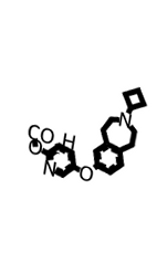 O=C(O)Oc1ccc(Oc2ccc3c(c2)CCN(C2CCC2)CC3)cn1